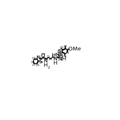 COc1cc(C)c(S(=O)(=O)NC(=N)NCCC[C@H](N)C(=O)c2nc3ccccc3s2)c(C)c1C